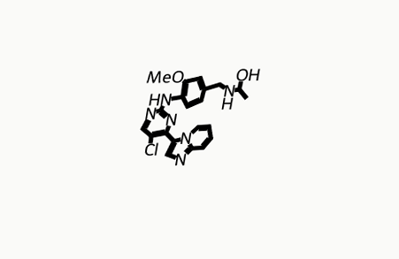 COc1cc(CNC(C)O)ccc1Nc1ncc(Cl)c(-c2cnc3ccccn23)n1